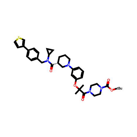 CC(C)(C)OC(=O)N1CCN(C(=O)C(C)(C)Oc2cccc(N3CCC[C@@H](C(=O)N(Cc4ccc(-c5ccsc5)cc4)C4CC4)C3)c2)CC1